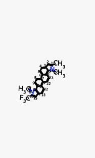 Cc1cc2ccc3c4ccc5c(ccc6cc(C(F)(F)F)n(C)c65)c4ccc3c2n1C